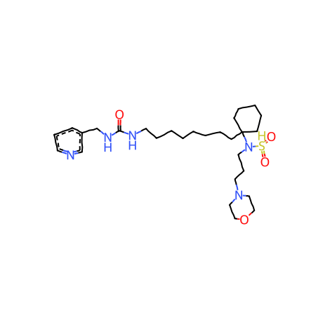 O=C(NCCCCCCCCC1(N(CCCN2CCOCC2)[SH](=O)=O)CCCCC1)NCc1cccnc1